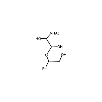 CCC(CO)OC(O)C(O)NC(C)=O